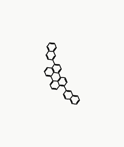 c1ccc2cc(-c3ccc4c5ccc(-c6ccc7ccccc7c6)c6cccc(c7cccc3c74)c65)ccc2c1